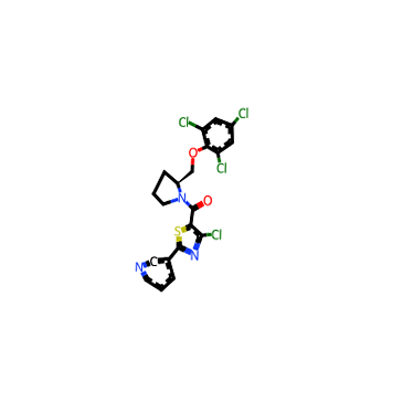 O=C(c1sc(-c2cccnc2)nc1Cl)N1CCC[C@H]1COc1c(Cl)cc(Cl)cc1Cl